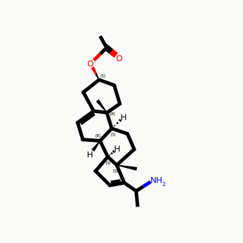 CC(=O)O[C@H]1CC[C@@]2(C)C(=CC[C@@H]3[C@@H]2CC[C@]2(C)C(C(C)N)=CC[C@@H]32)C1